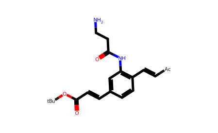 CC(=O)/C=C/c1ccc(/C=C/C(=O)OC(C)(C)C)cc1NC(=O)CCN